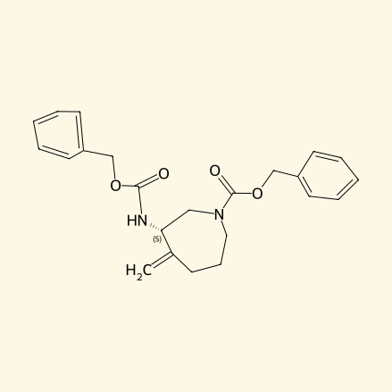 C=C1CCCN(C(=O)OCc2ccccc2)C[C@H]1NC(=O)OCc1ccccc1